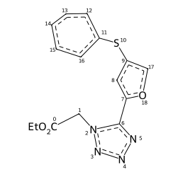 CCOC(=O)Cn1nnnc1-c1cc(Sc2ccccc2)co1